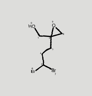 OCC1(CCC(Br)Br)CO1